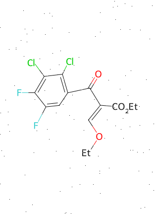 CCOC=C(C(=O)OCC)C(=O)c1cc(F)c(F)c(Cl)c1Cl